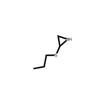 CCCSC1BC1